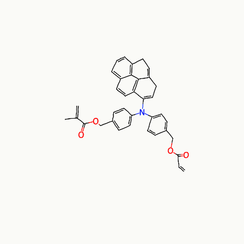 C=CC(=O)OCc1ccc(N(C2=CCC3=CCc4cccc5ccc2c3c45)c2ccc(COC(=O)C(=C)C)cc2)cc1